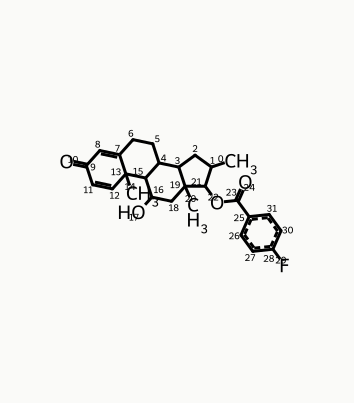 CC1CC2C3CCC4=CC(=O)C=CC4(C)C3C(O)CC2(C)C1OC(=O)c1ccc(F)cc1